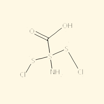 NS(SCl)(SCl)C(=O)O